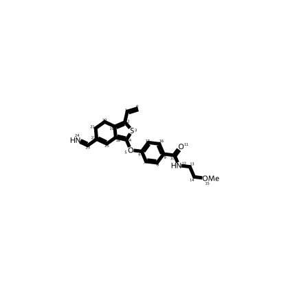 C=Cc1sc(Oc2ccc(C(=O)NCCOC)cc2)c2c1CCC(C=N)=C2